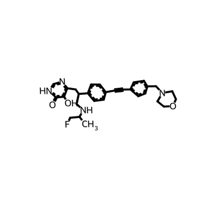 CC(CF)NCC(Cc1nc[nH]c(=O)c1O)c1ccc(C#Cc2ccc(CN3CCOCC3)cc2)cc1